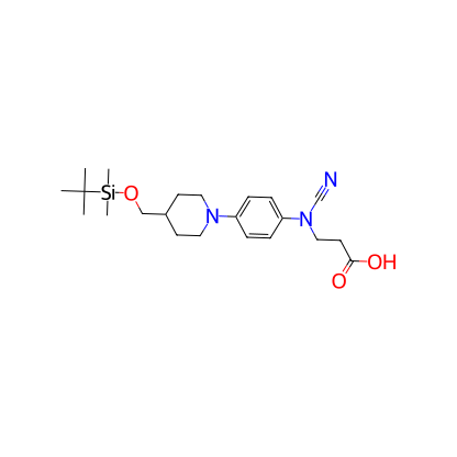 CC(C)(C)[Si](C)(C)OCC1CCN(c2ccc(N(C#N)CCC(=O)O)cc2)CC1